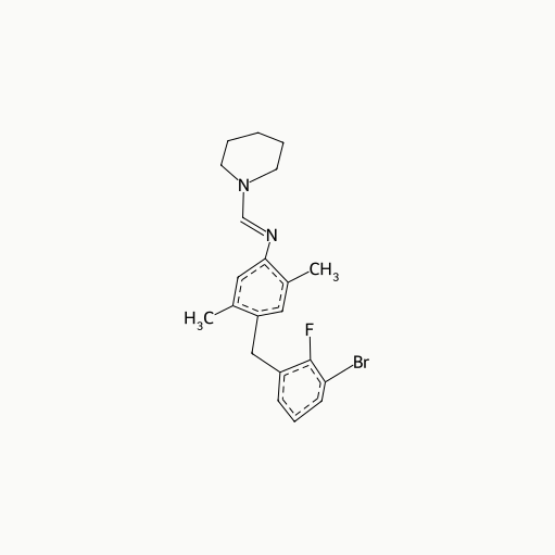 Cc1cc(/N=C/N2CCCCC2)c(C)cc1Cc1cccc(Br)c1F